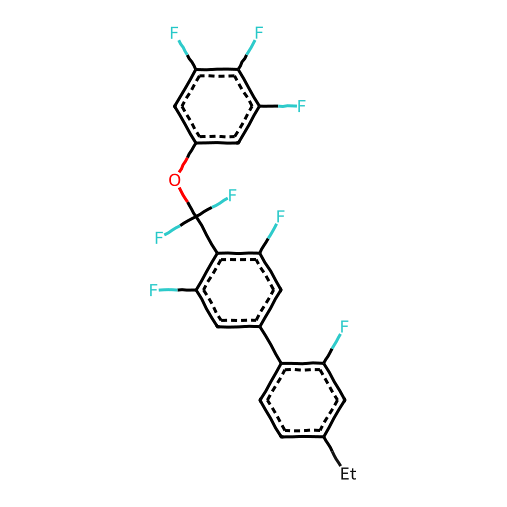 CCc1ccc(-c2cc(F)c(C(F)(F)Oc3cc(F)c(F)c(F)c3)c(F)c2)c(F)c1